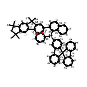 CC1(C)CC(C)(C)c2cc3c(cc21)-c1ccc(-c2ccc4ccccc4c2N(c2ccccc2)c2ccc4c(c2)-c2ccccc2C42c4ccccc4-c4ccccc42)cc1C3(C)C